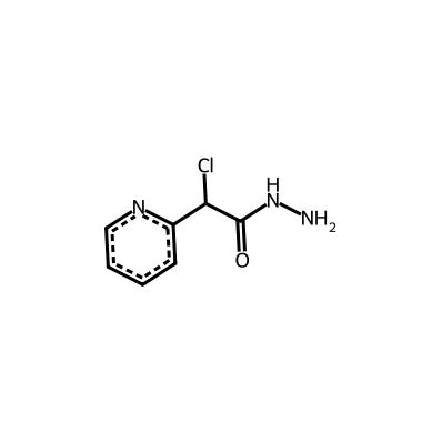 NNC(=O)C(Cl)c1ccccn1